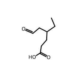 CCC(CC=O)CCC(=O)O